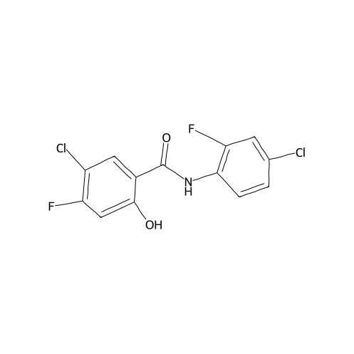 O=C(Nc1ccc(Cl)cc1F)c1cc(Cl)c(F)cc1O